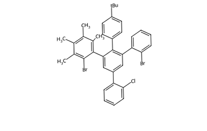 Cc1c(C)c(C)c(-c2cc(-c3ccccc3Cl)cc(-c3ccccc3Br)c2-c2ccc(C(C)(C)C)cc2)c(Br)c1C